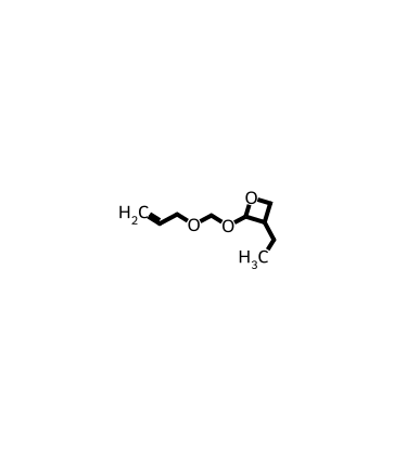 C=CCOCOC1OCC1CC